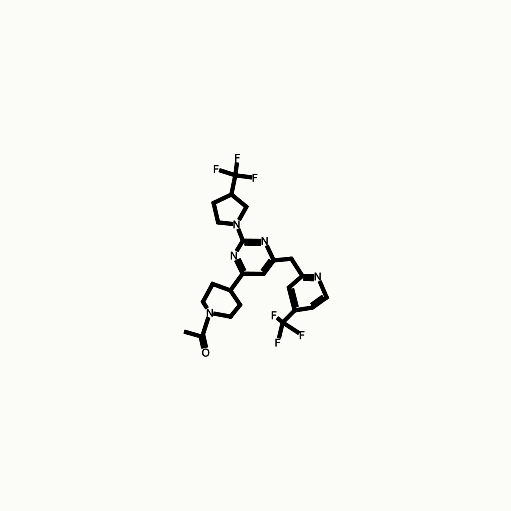 CC(=O)N1CCC(c2cc(Cc3cc(C(F)(F)F)ccn3)nc(N3CCC(C(F)(F)F)C3)n2)CC1